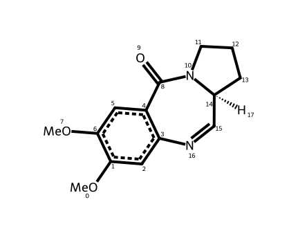 COc1cc2c(cc1OC)C(=O)N1CCC[C@H]1C=N2